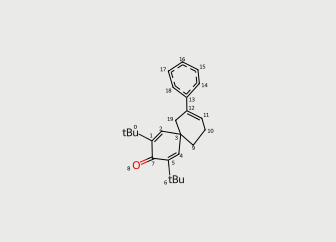 CC(C)(C)C1=CC2(C=C(C(C)(C)C)C1=O)CCC=C(c1ccccc1)C2